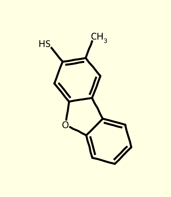 Cc1cc2c(cc1S)oc1ccccc12